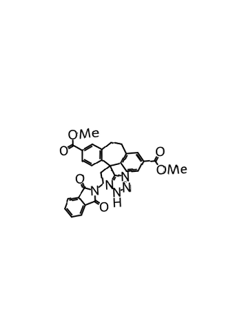 COC(=O)c1ccc2c(c1)CCc1cc(C(=O)OC)ccc1C2(CCN1C(=O)c2ccccc2C1=O)c1nn[nH]n1